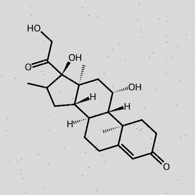 CC1C[C@H]2[C@@H]3CCC4=CC(=O)CC[C@]4(C)[C@H]3[C@@H](O)C[C@]2(C)[C@@]1(O)C(=O)CO